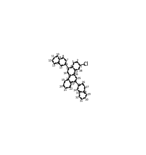 Clc1ccc2c(-c3ccc4ccccc4c3)cc3c4ccccc4c(-c4ccc5ccccc5c4)cc3c2c1